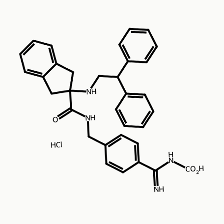 Cl.N=C(NC(=O)O)c1ccc(CNC(=O)C2(NCC(c3ccccc3)c3ccccc3)Cc3ccccc3C2)cc1